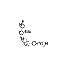 CC(C)(C)c1cc(CN2CCC3(CC2)CC(c2ccc(C(=O)O)cc2)=NO3)ccc1-c1ccc(F)nc1